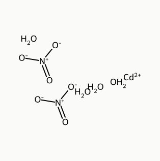 O.O.O.O.O=[N+]([O-])[O-].O=[N+]([O-])[O-].[Cd+2]